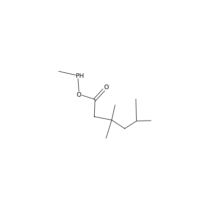 CPOC(=O)CC(C)(C)CC(C)C